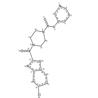 O=C(Oc1cccnc1)N1CCN(C(=O)c2nc3cc(Cl)ccc3o2)CC1